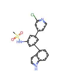 CS(=O)(=O)Nc1cc(-c2ccnc(Cl)c2)cc(-c2cccc3[nH]ccc23)c1